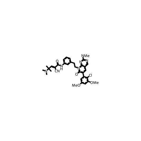 CNc1ncc2cc(-c3cc(OC)cc(OC)c3Cl)c(=O)n(CCc3cccc(NC(=O)/C(C#N)=C/C(C)(C)N(C)C)c3)c2n1